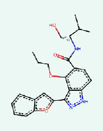 CCCOc1c(C(=O)N[C@H](CO)C(C)C)ccc2[nH]nc(-c3cc4ccccc4o3)c12